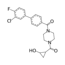 O=C(c1ccc(-c2ccc(F)c(Cl)c2)cc1)N1CCN(C(=O)C2CC2O)CC1